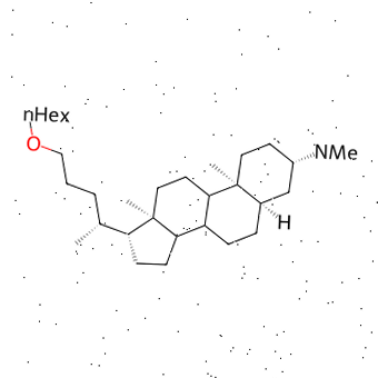 CCCCCCOCCC[C@@H](C)[C@H]1CCC2C3CC[C@@H]4C[C@@H](NC)CC[C@]4(C)C3CC[C@@]21C